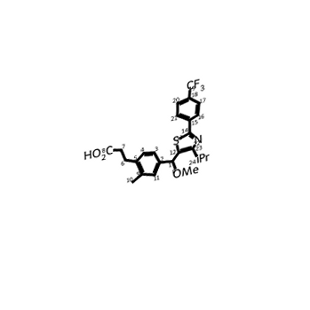 COC(c1ccc(CCC(=O)O)c(C)c1)c1sc(-c2ccc(C(F)(F)F)cc2)nc1C(C)C